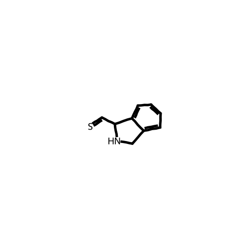 S=CC1NCc2ccccc21